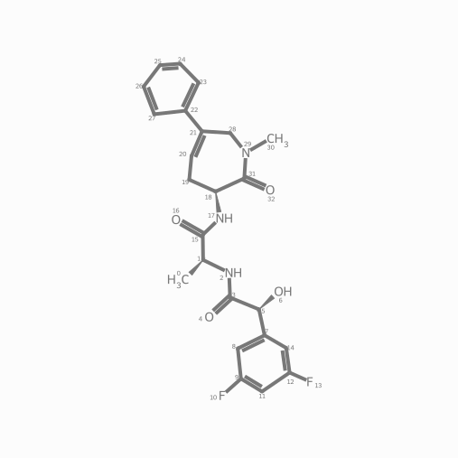 C[C@H](NC(=O)[C@@H](O)c1cc(F)cc(F)c1)C(=O)N[C@H]1CC=C(c2ccccc2)CN(C)C1=O